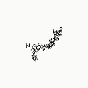 Cc1cc(CC(=O)NCc2ccc3c(c2)CC(CCC2CCC(=O)NC2=O)C3=O)ccc1OCCN1CCOCC1